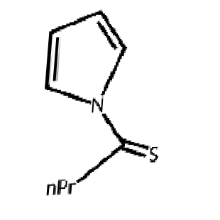 CCCC(=S)n1cccc1